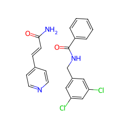 NC(=O)/C=C/c1ccncc1.O=C(NCc1cc(Cl)cc(Cl)c1)c1ccccc1